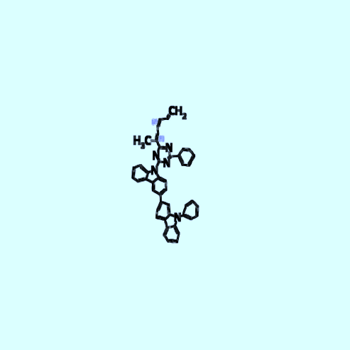 C=C/C=C\C=C(/C)c1nc(-c2ccccc2)nc(-n2c3ccccc3c3cc(-c4ccc5c6ccccc6n(-c6ccccc6)c5c4)ccc32)n1